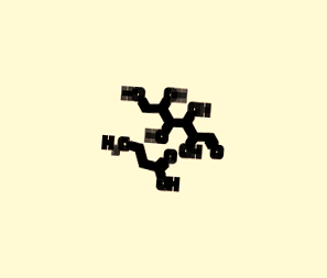 CCCC(=O)O.O=CC(O)C(O)C(O)C(O)CO